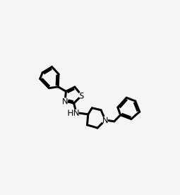 c1ccc(CN2CCC(Nc3nc(-c4ccccc4)cs3)CC2)cc1